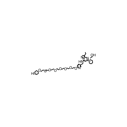 CCc1cnn2c(NCc3ccc(OCCOCCOCCOCCOCCOCCOCCOC4CCNCC4)nc3)cc(N3CCCC[C@H]3CCO)nc12